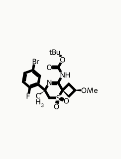 CO[C@H]1C[C@]2(C1)C(NC(=O)OC(C)(C)C)=N[C@](C)(c1cc(Br)ccc1F)CS2(=O)=O